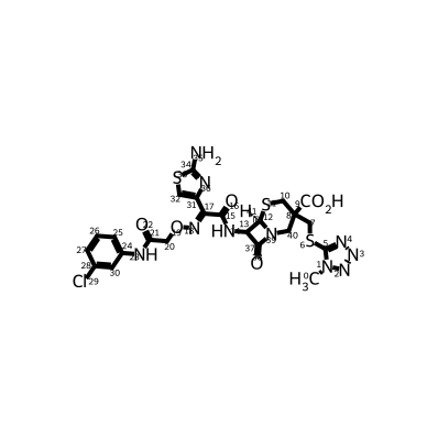 Cn1nnnc1SCC1(C(=O)O)CS[C@@H]2C(NC(=O)C(=NOCC(=O)Nc3cccc(Cl)c3)c3csc(N)n3)C(=O)N2C1